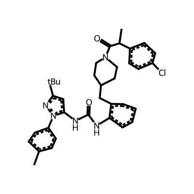 Cc1ccc(-n2nc(C(C)(C)C)cc2NC(=O)Nc2ccccc2CC2CCN(C(=O)C(C)c3ccc(Cl)cc3)CC2)cc1